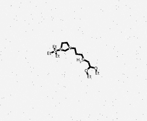 CCOC(C[SiH2]CCCN1CCN([Si](CC)(CC)CC)C1)OCC